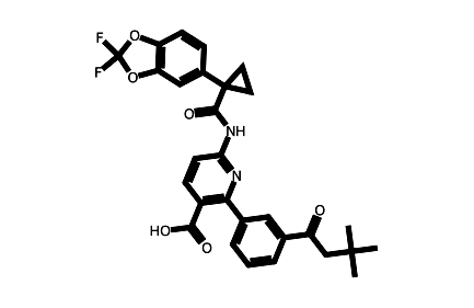 CC(C)(C)CC(=O)c1cccc(-c2nc(NC(=O)C3(c4ccc5c(c4)OC(F)(F)O5)CC3)ccc2C(=O)O)c1